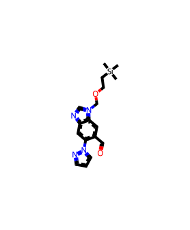 C[Si](C)(C)CCOCn1cnc2cc(-n3cccn3)c(C=O)cc21